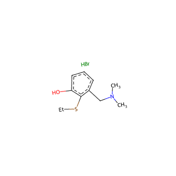 Br.CCSc1c(O)cccc1CN(C)C